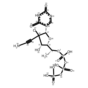 C[C@@H](OP(=O)(O)OP(=O)(O)OP(=O)(O)O)[C@H]1O[C@@H](n2cnc(=O)[nH]c2=O)C(Cl)(C#CN)[C@H]1O